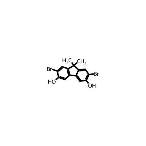 CC1(C)c2cc(Br)c(O)cc2-c2cc(O)c(Br)cc21